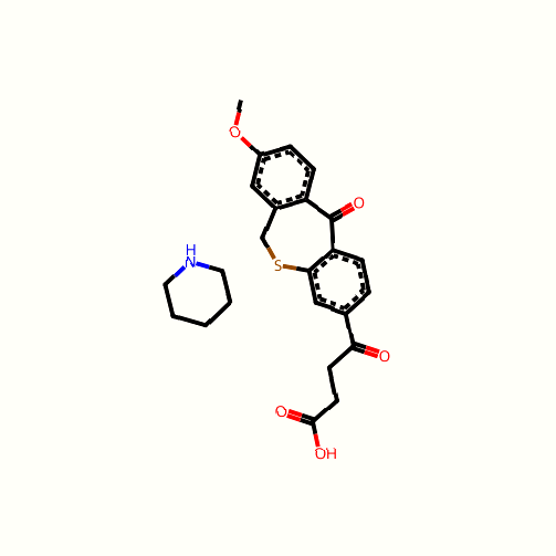 C1CCNCC1.COc1ccc2c(c1)CSc1cc(C(=O)CCC(=O)O)ccc1C2=O